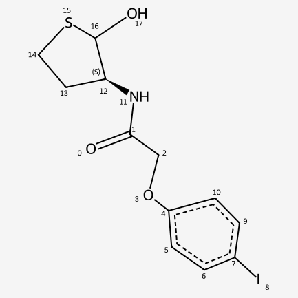 O=C(COc1ccc(I)cc1)N[C@H]1CCSC1O